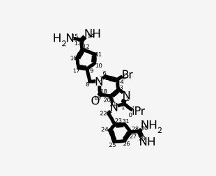 CC(C)c1nc2c(Br)cn(Cc3ccc(C(=N)N)cc3)c(=O)c2n1Cc1cccc(C(=N)N)c1